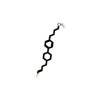 CCCCCc1ccc(C2CCC(CC/C=C/F)CC2)cc1